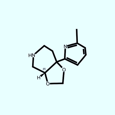 Cc1cccc(C23CCNC[C@H]2OCO3)n1